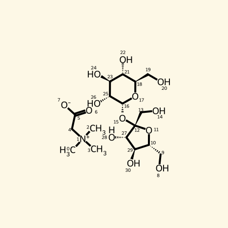 C[N+](C)(C)CC(=O)[O-].OC[C@H]1O[C@@](CO)(O[C@H]2O[C@H](CO)[C@@H](O)[C@H](O)[C@H]2O)[C@@H](O)[C@@H]1O